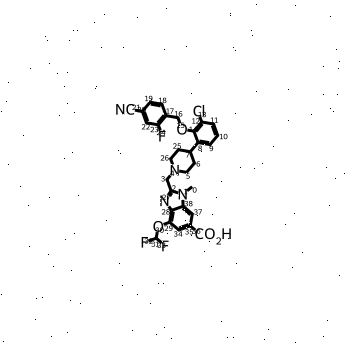 Cn1c(CN2CCC(c3cccc(Cl)c3OCc3ccc(C#N)cc3F)CC2)nc2c(OC(F)F)cc(C(=O)O)cc21